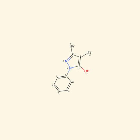 CCc1c(C(C)C)nn(-c2ccccc2)c1O